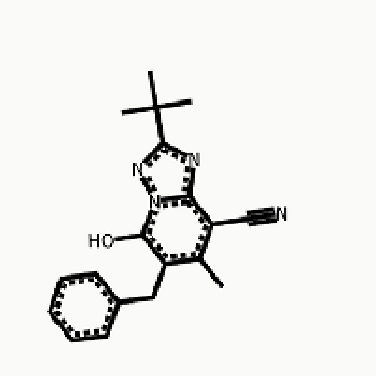 Cc1c(Cc2ccccc2)c(O)n2nc(C(C)(C)C)nc2c1C#N